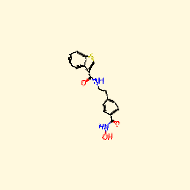 O=C(NO)c1ccc(CCNC(=O)c2csc3ccccc23)cc1